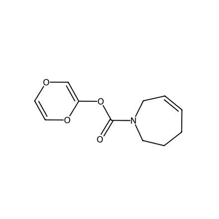 O=C(OC1=COC=CO1)N1CC=CCCC1